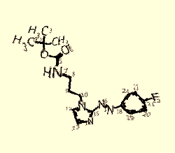 CC(C)(C)OC(=O)NCCCn1ccnc1N=Nc1ccc(F)cc1